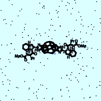 COC(=O)N[C@H](C(=O)N1[C@H](c2nc3cc(-c4cc5ccc4/C=C\c4ccc(c(-c6ccc7[nH]c([C@@H]8C[C@@H]9CCCC[C@@H]9N8C(=O)[C@@H](NC(=O)OC)C(C)C)nc7c6)c4)CC5)ccc3[nH]2)C[C@@H]2CCCC[C@@H]21)C(C)C